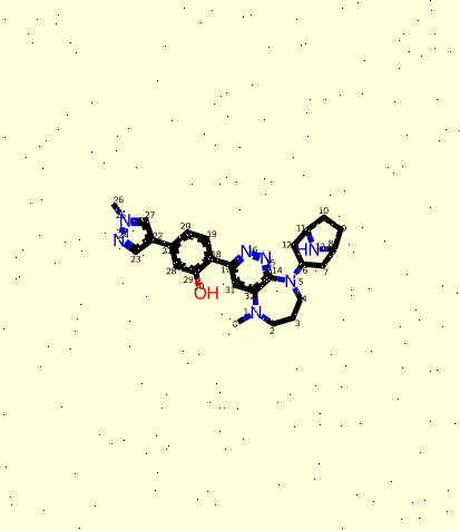 CN1CCCN(C2CC3CCC(C2)N3)c2nnc(-c3ccc(-c4cnn(C)c4)cc3O)cc21